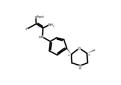 CCCCC/C(F)=C(\N)Nc1ccc([C@H]2CNC[C@@H](C)O2)cc1